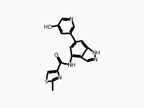 Cc1nc(C(=O)Nc2cc(-c3cncc(O)c3)cc3[nH]ncc23)cs1